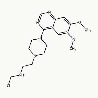 COc1cc2ncnc(N3CCN(CCNCCl)CC3)c2cc1OC